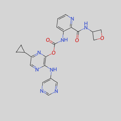 O=C(Nc1cccnc1C(=O)NC1COC1)Oc1nc(C2CC2)cnc1Nc1cncnc1